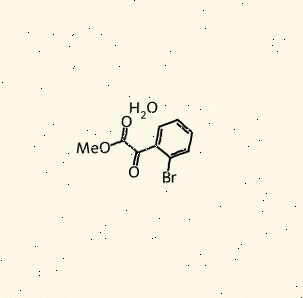 COC(=O)C(=O)c1ccccc1Br.O